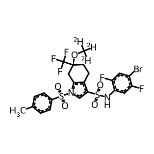 [2H]C([2H])([2H])O[C@@]1(C(F)(F)F)CCc2c(S(=O)(=O)Nc3cc(F)c(Br)cc3F)cn(S(=O)(=O)c3ccc(C)cc3)c2C1